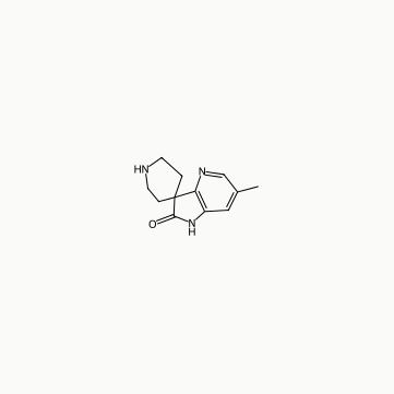 Cc1cnc2c(c1)NC(=O)C21CCNCC1